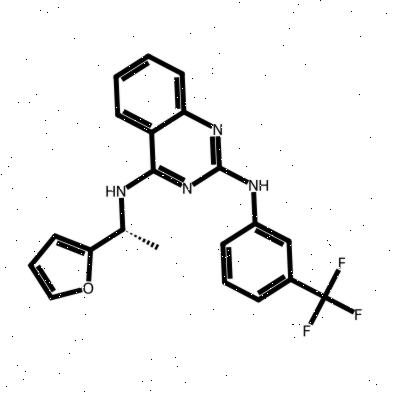 C[C@@H](Nc1nc(Nc2cccc(C(F)(F)F)c2)nc2ccccc12)c1ccco1